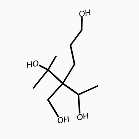 CC(O)C(CO)(CCCO)C(C)(C)O